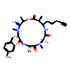 C#CCCCC1NC(=O)[C@H](C)N(C)C(=O)[C@H](C(C)C)NC(=O)[C@H](Cc2ccc(OC)cc2)N(C)C(=N)C(C)OC(=O)C1C